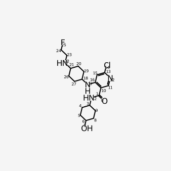 O=C(NC1CCC(O)CC1)c1cnc(Cl)cc1NC1CCC(NCCF)CC1